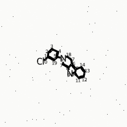 Clc1cccc(N2C=C3N=c4ccccc4=C3CC2)c1